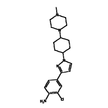 CN1CCN(C2CCC(n3ccc(-c4ccc(N)c(Cl)c4)n3)CC2)CC1